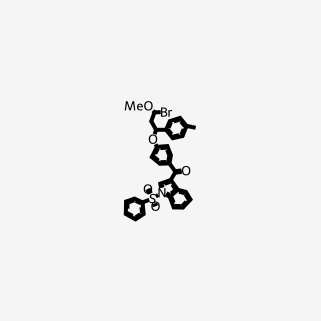 COC(Br)CC(Oc1ccc(C(=O)c2cn(S(=O)(=O)c3ccccc3)c3ccccc23)cc1)c1ccc(C)cc1